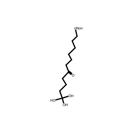 CCCCCCCCCCCCCCCC(=O)CCCC(O)(O)O